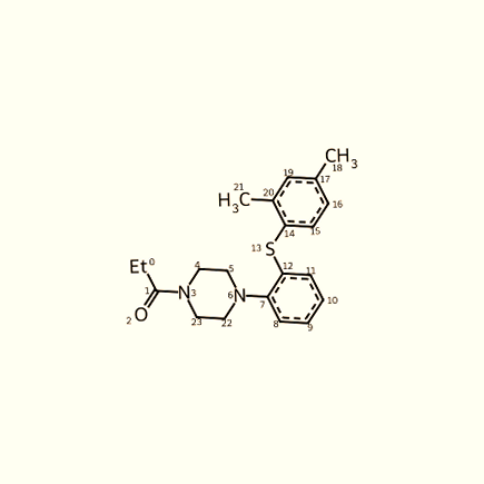 CCC(=O)N1CCN(c2ccccc2Sc2ccc(C)cc2C)CC1